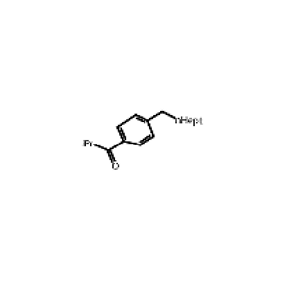 CCCCCCCCc1ccc(C(=O)C(C)C)cc1